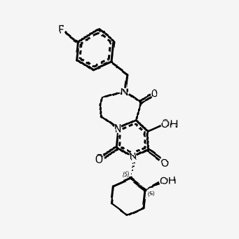 O=C1c2c(O)c(=O)n([C@H]3CCCC[C@@H]3O)c(=O)n2CCN1Cc1ccc(F)cc1